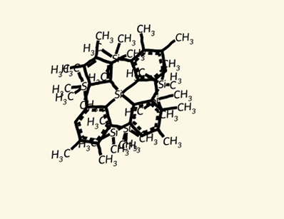 CC1=C(C)C(C)C([Si](c2c([Si](C)(C)C)cc(C)c(C)c2[Si](C)(C)C)(c2c([Si](C)(C)C)cc(C)c(C)c2[Si](C)(C)C)c2c([Si](C)(C)C)cc(C)c(C)c2[Si](C)(C)C)=C1C